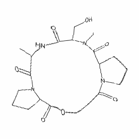 CC1NC(=O)C(CO)N(C)C(=O)C2CCCN2C(=O)CCOC(=O)C2CCCN2C1=O